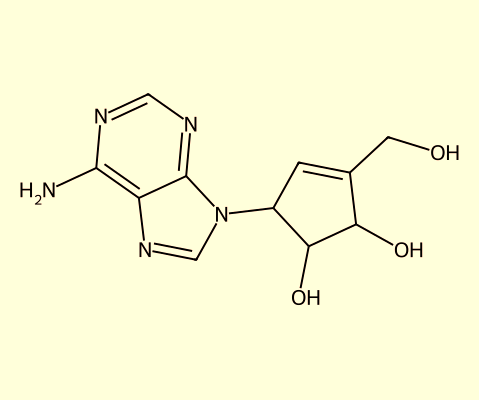 Nc1ncnc2c1ncn2C1C=C(CO)C(O)C1O